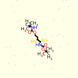 CC(C)(C)NC(=O)OCCC(S)C(S)NC(=O)OC(C)(C)C